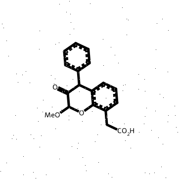 COC1Oc2c(CC(=O)O)cccc2C(c2ccccc2)C1=O